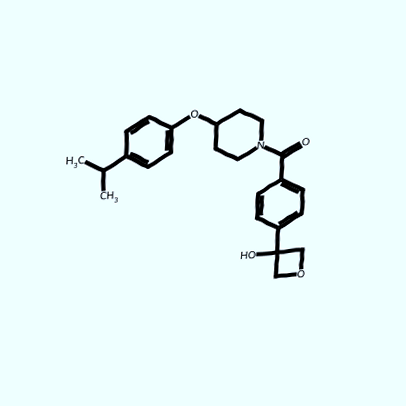 CC(C)c1ccc(OC2CCN(C(=O)c3ccc(C4(O)COC4)cc3)CC2)cc1